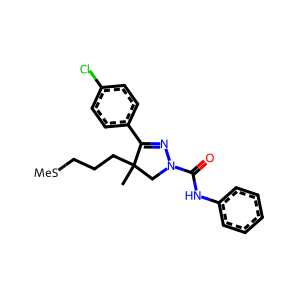 CSCCCC1(C)CN(C(=O)Nc2ccccc2)N=C1c1ccc(Cl)cc1